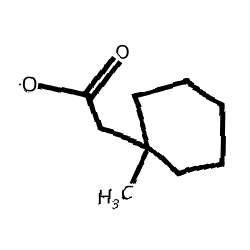 CC1(CC([O])=O)CCCCC1